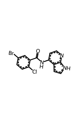 O=C(Nc1ccnc2[nH]ccc12)c1cc(Br)ccc1Cl